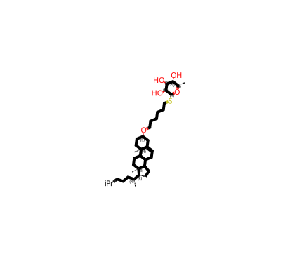 CC(C)CCC[C@@H](C)[C@H]1CCC2C3CC=C4C[C@@H](OCCCCCCS[C@H]5O[C@@H](C)[C@@H](O)[C@@H](O)[C@@H]5O)CC[C@]4(C)C3CC[C@@]21C